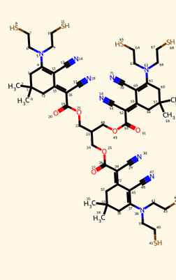 CC1(C)CC(N(CCS)CCS)=C(C#N)/C(=C(\C#N)C(=O)OCC(COC(=O)/C(C#N)=C2\CC(C)(C)CC(N(CCS)CCS)=C2C#N)COC(=O)/C(C#N)=C2\CC(C)(C)CC(N(CCS)CCS)=C2C#N)C1